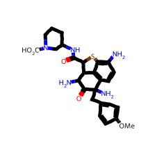 COc1ccc(CC2(N)C(=O)C(N)C3c4c2ccc(N)c4SC3C(=O)NC2CCCN(C(=O)O)C2)cc1